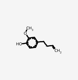 C=C[CH]Cc1ccc(O)c(OC)c1